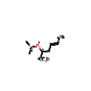 C[SiH](C)OC(CC=CC(C)(C)C)C(=O)O